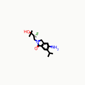 CC(C)c1cc2c(cc1N)CN(C[C@@H](F)C(C)(C)O)C2=O